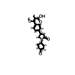 COC(=C(C)C(=O)O)c1ccc(C2CC(=O)N(c3ccc(Cl)cc3)C2)cc1